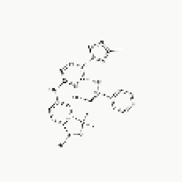 Cc1noc(-c2cnc(Nc3ccc4c(c3)C(C)(C)OB4O)nc2N[C@H](CO)c2ccccc2)n1